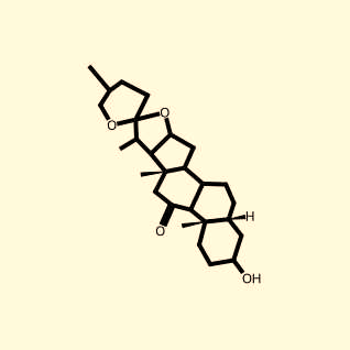 CC1CCC2(OC1)OC1CC3C4CC[C@@H]5CC(O)CC[C@]5(C)C4C(=O)C[C@]3(C)C1C2C